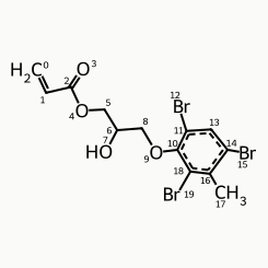 C=CC(=O)OCC(O)COc1c(Br)cc(Br)c(C)c1Br